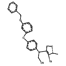 CC1OCC(N(CC#N)c2ccc(Oc3cccc(OCc4ccccc4)c3)cc2)=C1C#N